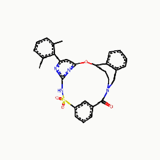 Cc1cccc(C)c1-c1cc2nc(n1)NS(=O)(=O)c1cccc(c1)C(=O)N1CCC(O2)c2ccccc2C1